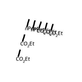 CCCCCC.CCCCCC.CCOC(C)=O.CCOC(C)=O.CCOC(C)=O.CCOC(C)=O.CCOC(C)=O